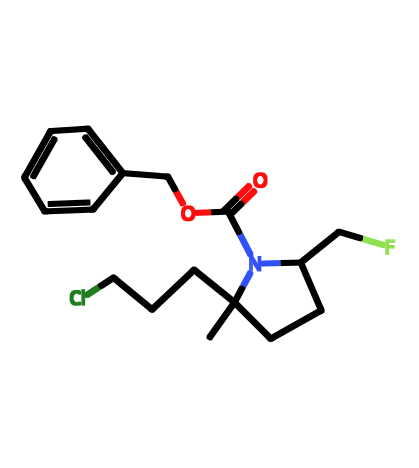 CC1(CCCCl)CCC(CF)N1C(=O)OCc1ccccc1